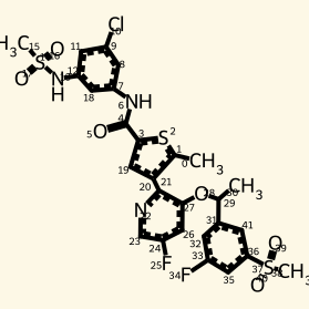 Cc1sc(C(=O)Nc2cc(Cl)cc(NS(C)(=O)=O)c2)cc1-c1ncc(F)cc1OC(C)c1cc(F)cc(S(C)(=O)=O)c1